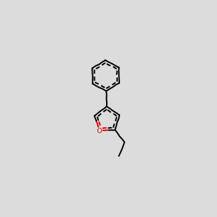 CCc1cc(-c2ccccc2)co1